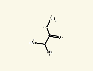 CCCCC(CCCC)C(=O)O[SiH3]